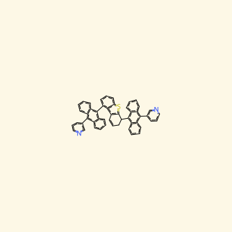 C1=Cc2c(sc3cccc(-c4c5ccccc5c(-c5cccnc5)c5ccccc45)c23)C(c2c3ccccc3c(-c3cccnc3)c3ccccc23)C1